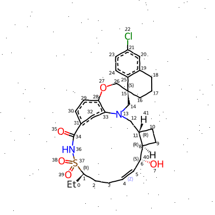 CC[C@@H]1CC/C=C\[C@@H](O)[C@@H]2CC[C@H]2CN2C[C@@]3(CCCc4cc(Cl)ccc43)COc3ccc(cc32)C(=O)NS1(=O)=O